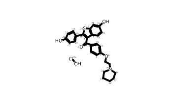 O=C(c1ccc(OCCN2CCCCC2)cc1)c1c(-c2ccc(O)cc2)sc2cc(O)ccc12.OCl